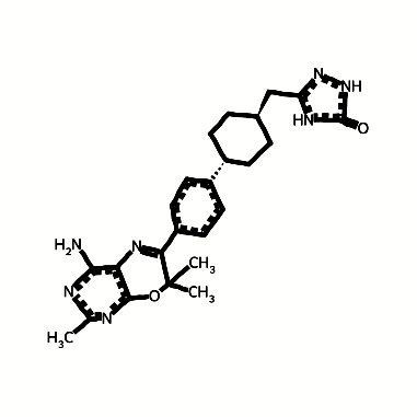 Cc1nc(N)c2c(n1)OC(C)(C)C(c1ccc([C@H]3CC[C@H](Cc4n[nH]c(=O)[nH]4)CC3)cc1)=N2